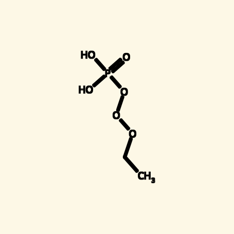 CCOOOP(=O)(O)O